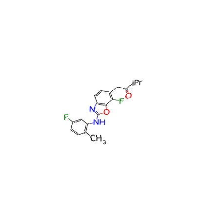 Cc1ccc(F)cc1Nc1nc2ccc(CC(=O)C(C)C)c(F)c2o1